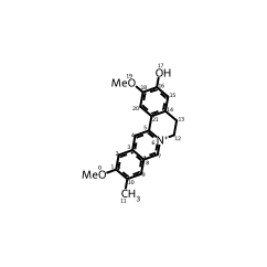 COc1cc2cc3[n+](cc2cc1C)CCc1cc(O)c(OC)cc1-3